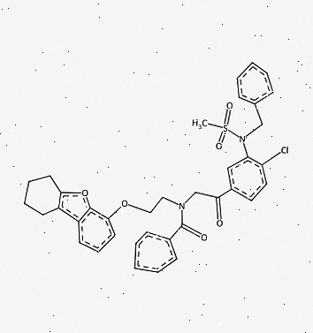 CS(=O)(=O)N(Cc1ccccc1)c1cc(C(=O)CN(CCOc2cccc3c4c(oc23)CCCC4)C(=O)c2ccccc2)ccc1Cl